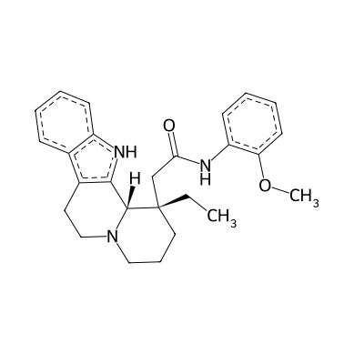 CC[C@@]1(CC(=O)Nc2ccccc2OC)CCCN2CCc3c([nH]c4ccccc34)[C@@H]21